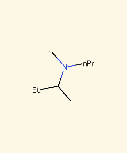 [CH2]N(CCC)C(C)CC